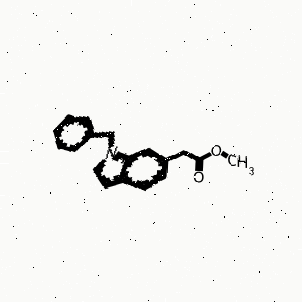 COC(=O)Cc1ccc2ccn(Cc3ccccc3)c2c1